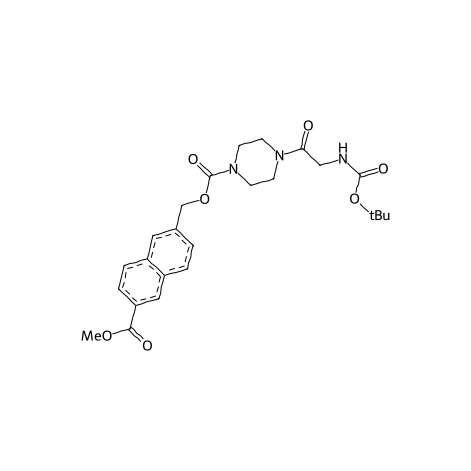 COC(=O)c1ccc2cc(COC(=O)N3CCN(C(=O)CNC(=O)OC(C)(C)C)CC3)ccc2c1